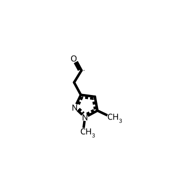 Cc1cc(C[C]=O)nn1C